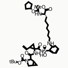 C=CC1CC1(NC(=O)C1C2CC2CN1C(=O)OC(C)(C)C)C(=O)NS(=O)(=O)c1ccccc1NCCCCCCC[C@H](NC(=O)OC1CCCC1)C(=O)OC